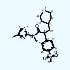 Cc1cnc(N(C)C(=O)C(CC2CCOCC2)c2ccc(S(C)(=O)=O)cc2)s1